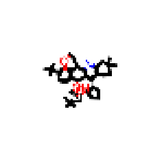 CC1(C)CCc2c(nc(C3CCOCC3)c([C@H](O)c3ccc(C(C)(C)C)cc3)c2[C@@H]2CCC=C2O[Si](C)(C)C(C)(C)C)C1